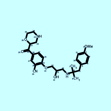 COc1ccc(CC(C)(C)NCC(O)COc2ccc(C(=O)C3CNCCO3)cc2C#N)cc1